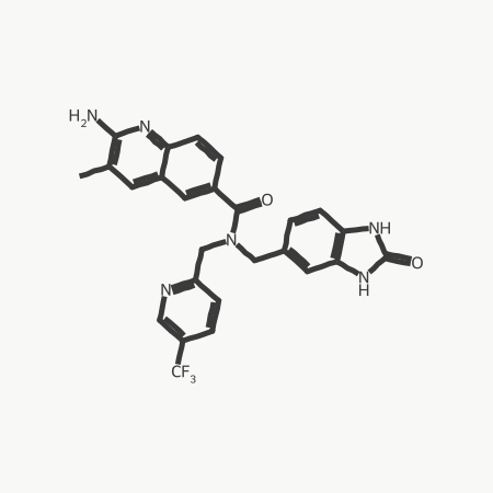 Cc1cc2cc(C(=O)N(Cc3ccc4[nH]c(=O)[nH]c4c3)Cc3ccc(C(F)(F)F)cn3)ccc2nc1N